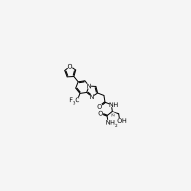 NC(=O)[C@H](CO)NC(=O)Cc1cn2cc(-c3ccoc3)cc(C(F)(F)F)c2n1